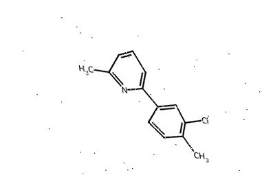 Cc1cccc(-c2ccc(C)c(Cl)c2)n1